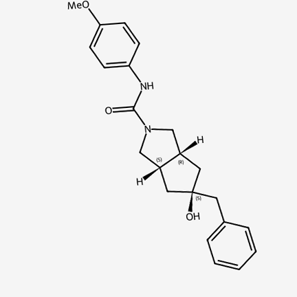 COc1ccc(NC(=O)N2C[C@@H]3C[C@](O)(Cc4ccccc4)C[C@@H]3C2)cc1